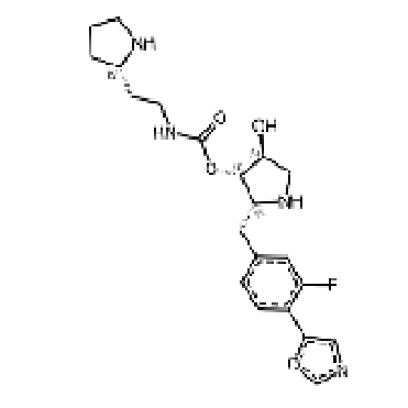 O=C(NCC[C@@H]1CCCN1)O[C@@H]1[C@@H](O)CN[C@@H]1Cc1ccc(-c2cnco2)c(F)c1